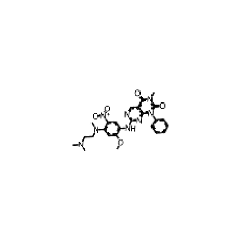 COc1cc(N(C)CCN(C)C)c([N+](=O)[O-])cc1Nc1ncc2c(=O)n(C)c(=O)n(-c3ccccc3)c2n1